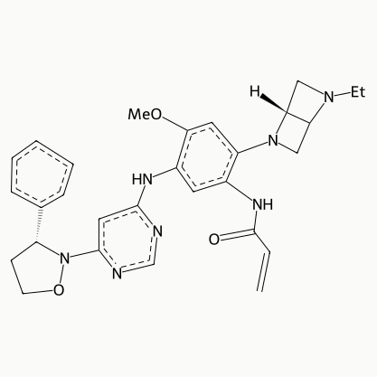 C=CC(=O)Nc1cc(Nc2cc(N3OCC[C@@H]3c3ccccc3)ncn2)c(OC)cc1N1CC2[C@H]1CN2CC